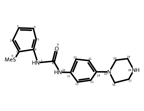 CSc1ccccc1NC(=O)Nc1ccc(N2CCNCC2)cc1